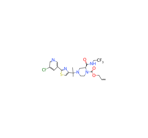 C=CCOC(=O)N1CCN(C(C)(C)c2csc(-c3cncc(Cl)c3)n2)C[C@H]1C(=O)NCC(F)(F)F